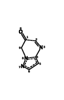 O=C1C=Nc2ccnn2C1